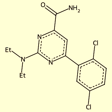 CCN(CC)c1nc(C(N)=O)cc(-c2cc(Cl)ccc2Cl)n1